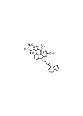 CC(C)c1nn(C)c(C(C)C)c1-c1cccc2c(CCCOc3cccc4ccccc34)c(OC(=O)O)[nH]c12